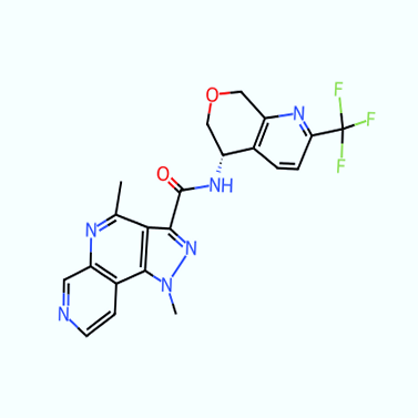 Cc1nc2cnccc2c2c1c(C(=O)N[C@@H]1COCc3nc(C(F)(F)F)ccc31)nn2C